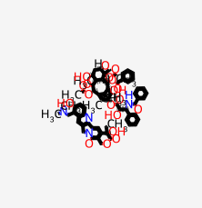 CC(=O)O[C@H]1C(=O)[C@@]2(C)[C@H]([C@H](OC(=O)c3ccccc3)[C@]3(O)C[C@H](OC(=O)[C@H](O)[C@@H](NC(=O)c4ccccc4)c4ccccc4)C(C)=C1C3(C)C)[C@]1(OC(C)=O)CO[C@@H]1C[C@@H]2O.CC[C@@]1(O)C(=O)OCc2c1cc1n(c2=O)Cc2cc3c(CN(C)C)c(O)ccc3nc2-1